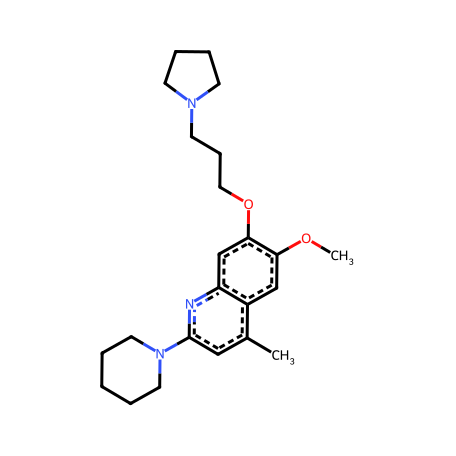 COc1cc2c(C)cc(N3CCCCC3)nc2cc1OCCCN1CCCC1